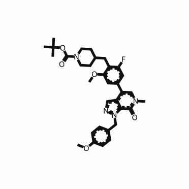 COc1ccc(Cn2ncc3c(-c4cc(F)c(CC5CCN(C(=O)OC(C)(C)C)CC5)c(OC)c4)cn(C)c(=O)c32)cc1